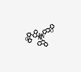 c1ccc2c(c1)cc(-c1nc(-c3ccc4cc5c(cc4c3)oc3ccccc35)nc(-c3ccc(-c4cccc5oc6ccccc6c45)c4ccccc34)n1)c1ccccc12